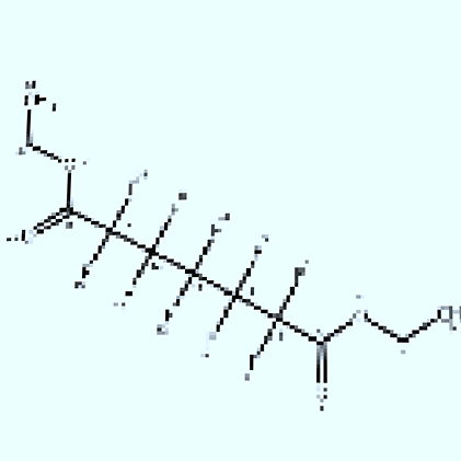 CCOC(=O)C(F)(F)C(F)(F)C(F)(F)C(F)(F)C(F)(F)C(=O)OCC